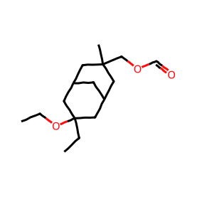 CCOC1(CC)CC2CC(CC(C)(COC=O)C2)C1